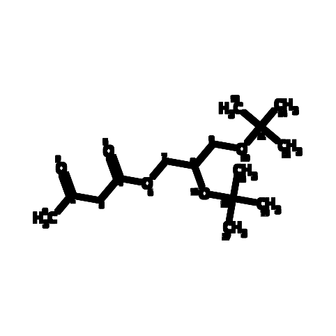 CC(=O)CC(=O)OCC(COC(C)(C)C)OC(C)(C)C